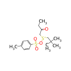 CCC(=O)C[S+](CC(C)(C)C)OS(=O)(=O)c1ccc(C)cc1